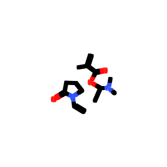 C=C(C)C(=O)OC(C)N(C)C.C=CN1CCCC1=O